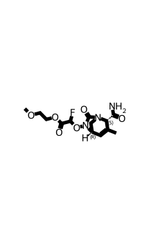 COCCOC(=O)C(F)ON1C(=O)N2C[C@H]1C=C(C)[C@H]2C(N)=O